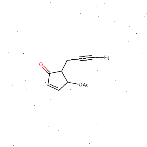 CCC#CCC1C(=O)C=CC1OC(C)=O